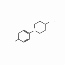 CCOC(=O)C1CCN(C2=CCC(C(=O)O)C=C2)CC1